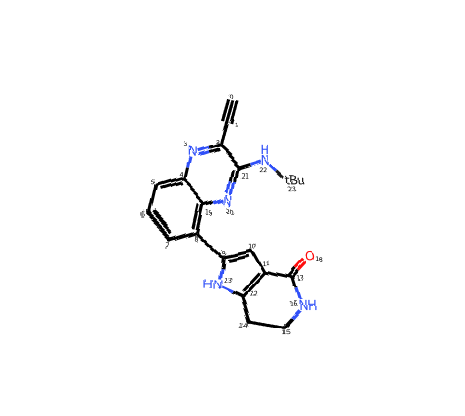 C#Cc1nc2cccc(-c3cc4c([nH]3)CCNC4=O)c2nc1NC(C)(C)C